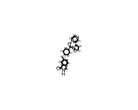 O=C1NCc2ccc(C[C@H]3CC[C@H](C(=O)N4OCC[C@H]4c4cnccn4)CC3)cc21